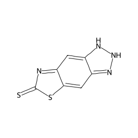 S=c1nc2cc3[nH][nH]nc3cc2s1